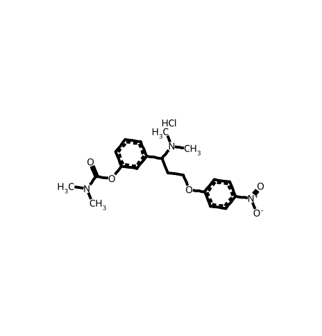 CN(C)C(=O)Oc1cccc(C(CCOc2ccc([N+](=O)[O-])cc2)N(C)C)c1.Cl